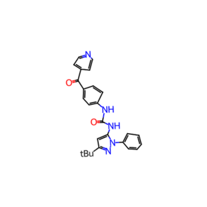 CC(C)(C)c1cc(NC(=O)Nc2ccc(C(=O)c3ccncc3)cc2)n(-c2ccccc2)n1